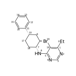 CCc1ncnc(N[C@H]2CC[C@@H](c3ccccc3)CC2)c1Br